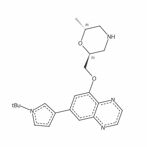 C[C@@H]1CNC[C@@H](COc2cc(-c3ccn(C(C)(C)C)c3)cc3nccnc23)O1